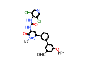 CCCOc1cc(C=O)cc(-c2cccc(-c3cc(NC(=O)Nc4c(Cl)cncc4Cl)c(=O)n(CC)n3)c2)c1